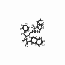 Cc1nc2sccn2c1C(=O)NCCC(Cc1ccccc1)N(C)C(=O)c1ccc2ncccc2c1